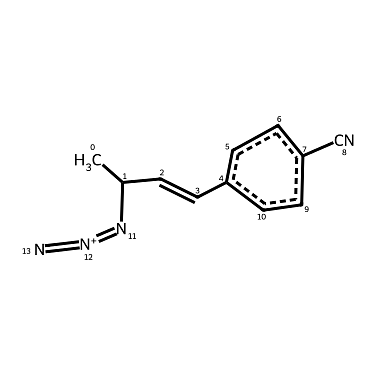 CC(/C=C/c1ccc(C#N)cc1)N=[N+]=[N-]